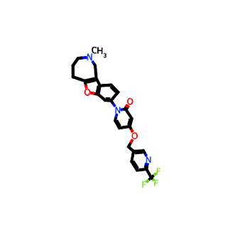 CN1CCCc2oc3cc(-n4ccc(OCc5ccc(C(F)(F)F)nc5)cc4=O)ccc3c2C1